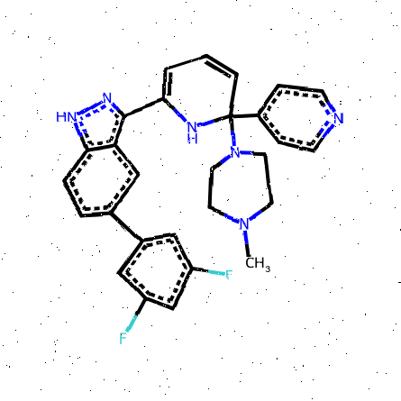 CN1CCN(C2(c3ccncc3)C=CC=C(c3n[nH]c4ccc(-c5cc(F)cc(F)c5)cc34)N2)CC1